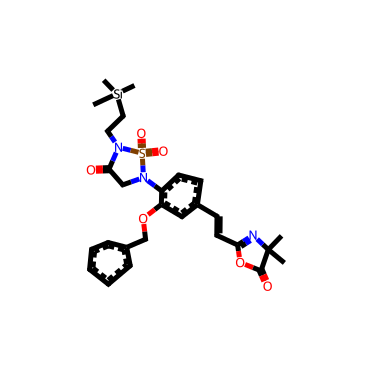 CC1(C)N=C(/C=C/c2ccc(N3CC(=O)N(CC[Si](C)(C)C)S3(=O)=O)c(OCc3ccccc3)c2)OC1=O